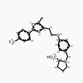 Cc1oc(-c2ccc(C(F)(F)F)cc2)nc1CCOc1ccc(CN2CCC[C@H]2C(=O)O)cc1